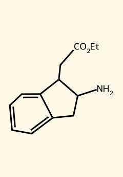 CCOC(=O)CC1c2ccccc2CC1N